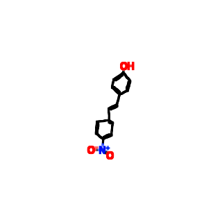 O=[N+]([O-])c1ccc(C=Cc2ccc(O)cc2)cc1